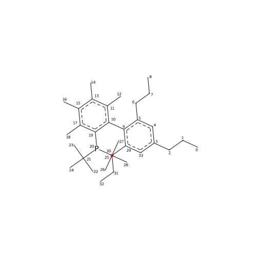 CCCc1cc(CCC)c(-c2c(C)c(C)c(C)c(C)c2P(C(C)(C)C)C(C)(C)C)c(CCC)c1